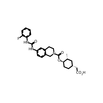 C[C@@H]1C[C@H](CC(=O)O)CC[C@H]1OC(=O)N1CCc2cc(NC(=O)Nc3ccccc3F)ccc2C1